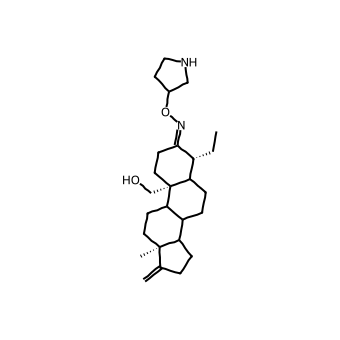 C=C1CCC2C3CCC4[C@@H](CC)C(=NOC5CCNC5)CC[C@]4(CO)C3CC[C@]12C